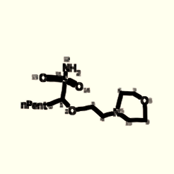 CCCCCC(OCCN1CCOCC1)S(N)(=O)=O